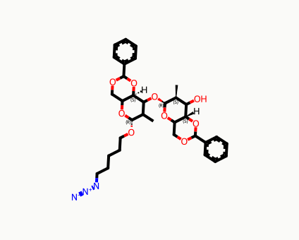 CC1C(O[C@@H]2OC3COC(c4ccccc4)O[C@H]3C(O)[C@@H]2C)[C@@H]2OC(c3ccccc3)OCC2O[C@H]1OCCCCCN=[N+]=[N-]